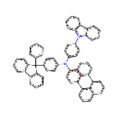 c1ccc(-c2cccc3cccc(-c4ccc(N(c5ccc(-n6c7ccccc7c7ccccc76)cc5)c5ccc(C6(c7ccccc7)c7ccccc7-c7ccccc76)cc5)cc4)c23)cc1